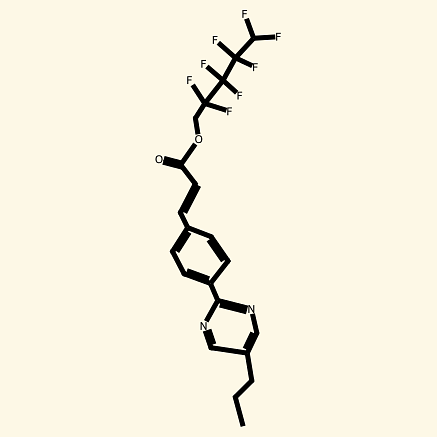 CCCc1cnc(-c2ccc(C=CC(=O)OCC(F)(F)C(F)(F)C(F)(F)C(F)F)cc2)nc1